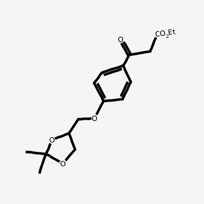 CCOC(=O)CC(=O)c1ccc(OCC2COC(C)(C)O2)cc1